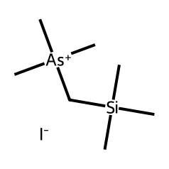 C[Si](C)(C)C[As+](C)(C)C.[I-]